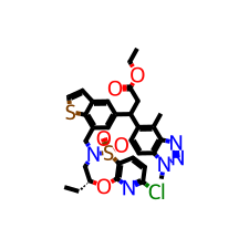 CCOC(=O)CC(c1cc(CN2C[C@@H](CC)Oc3nc(Cl)ccc3S2(=O)=O)c2sccc2c1)c1ccc2c(nnn2C)c1C